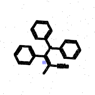 CN/C(C)=C(/c1ccccc1)P(c1ccccc1)c1ccccc1